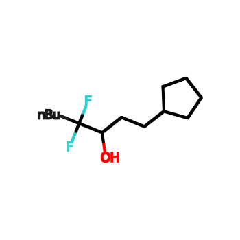 CCCCC(F)(F)C(O)CCC1CCCC1